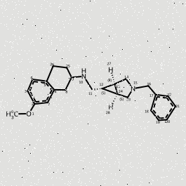 COc1ccc2c(c1)CC(NC[C@@H]1[C@H]3CN(Cc4ccccc4)C[C@@H]13)CC2